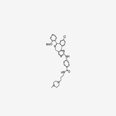 COc1ccccc1C1=NCc2cnc(Nc3ccc(C(=O)NCCCN4CCN(C)CC4)cc3)nc2-c2ccc(Cl)cc21